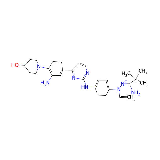 C=CN(/N=C(\N)C(C)(C)C)c1ccc(Nc2nccc(-c3ccc(N4CCC(O)CC4)c(N)c3)n2)cc1